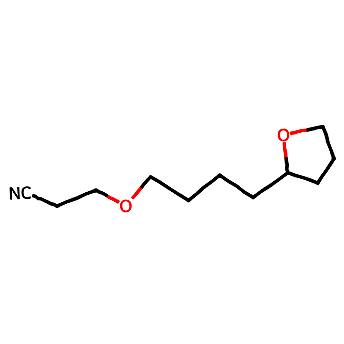 N#CCCOCCCCC1CCCO1